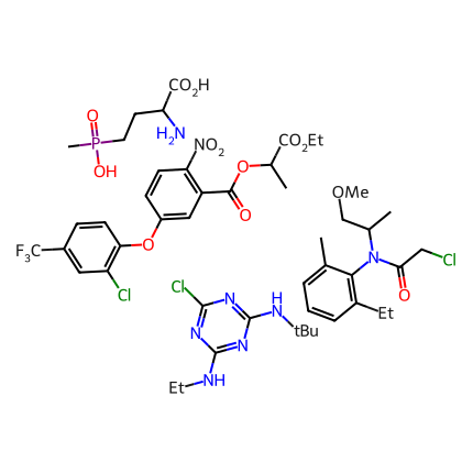 CCNc1nc(Cl)nc(NC(C)(C)C)n1.CCOC(=O)C(C)OC(=O)c1cc(Oc2ccc(C(F)(F)F)cc2Cl)ccc1[N+](=O)[O-].CCc1cccc(C)c1N(C(=O)CCl)C(C)COC.CP(=O)(O)CCC(N)C(=O)O